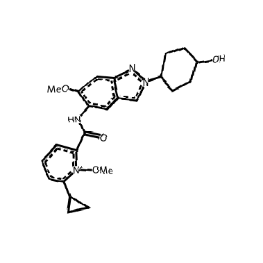 COc1cc2nn(C3CCC(O)CC3)cc2cc1NC(=O)c1cccc(C2CC2)[n+]1OC